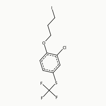 FC(F)(F)Sc1ccc(OCCCI)c(Cl)c1